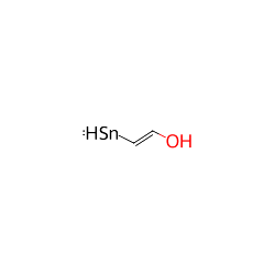 OC=[CH][SnH]